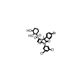 C[C@@]1(c2ccc(Br)cc2)C(=O)N(c2cc(Cl)cc(Cl)c2)c2ncc(S(=O)(=O)C3CCCC(O)C3O)n21